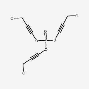 O=P(OC#CCCl)(OC#CCCl)OC#CCCl